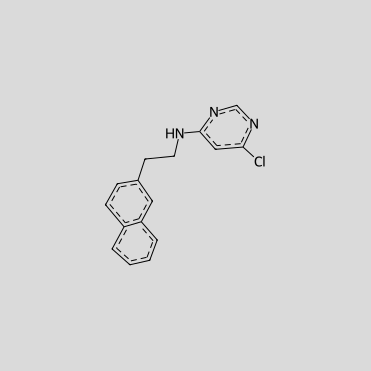 Clc1cc(NCCc2ccc3ccccc3c2)ncn1